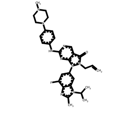 C=CCn1c(=O)c2cnc(Nc3ccc(N4CCN(C)CC4)cc3)nc2n1-c1cc(F)c2nc(C)n(C(C)C)c2c1